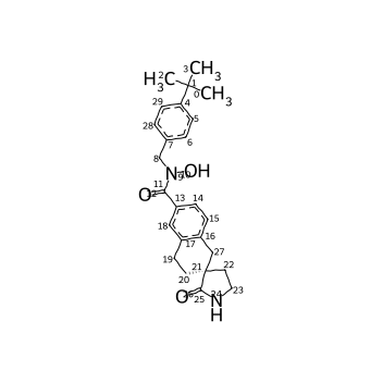 CC(C)(C)c1ccc(CN(O)C(=O)c2ccc3c(c2)CC[C@@]2(CCNC2=O)C3)cc1